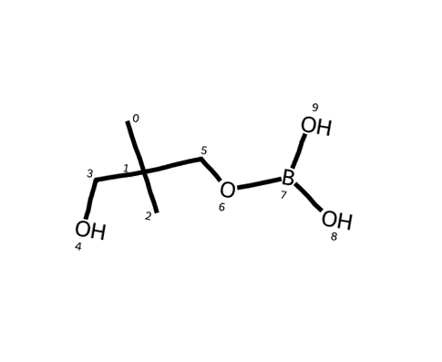 CC(C)(CO)COB(O)O